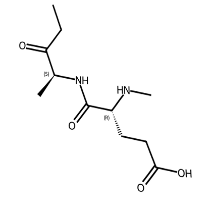 CCC(=O)[C@H](C)NC(=O)[C@@H](CCC(=O)O)NC